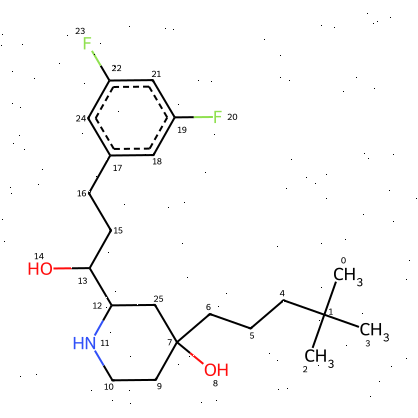 CC(C)(C)CCCC1(O)CCNC(C(O)CCc2cc(F)cc(F)c2)C1